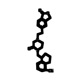 N#Cc1cccc2c1CCCC2CN1CCN(CCc2ccc3c(c2)COC3=O)CC1=O